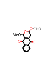 COC1OC(OC=O)CC2=C1C(=O)c1ccccc1C2=O